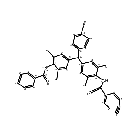 C#C/C=C\C(=C/C)C(=O)Nc1c(C)cc(C(c2ccc(F)cc2)c2cc(C)c(NC(=O)c3ccccc3)c(C)c2)cc1C